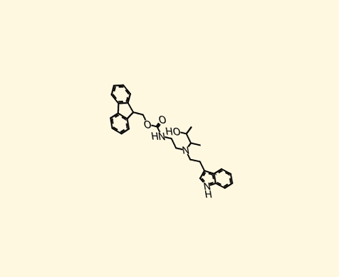 CC(O)C(C)N(CCNC(=O)OCC1c2ccccc2-c2ccccc21)CCc1c[nH]c2ccccc12